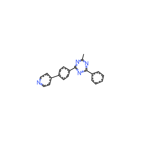 Cc1nc(-c2ccccc2)nc(-c2ccc(-c3ccncc3)cc2)n1